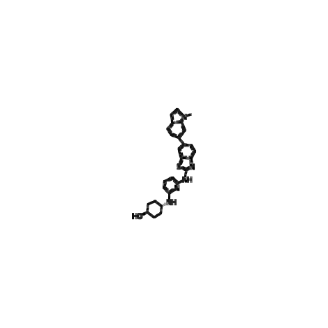 Cn1ccc2ccc(-c3ccc4nc(Nc5cccc(N[C@H]6CC[C@H](O)CC6)n5)sc4c3)cc21